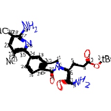 CC(C)(C)OC(=O)CC[C@@H](C(N)=O)N1Cc2cc(-c3nc(N)c(C#N)cc3C#N)ccc2C1=O